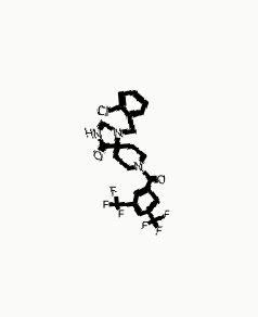 O=C(c1cc(C(F)(F)F)cc(C(F)(F)F)c1)N1CCC2(CC1)C(=O)NCN2Cc1ccccc1Cl